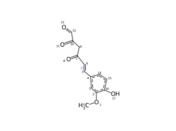 COc1cc(/C=C/C(=O)CC(=O)C=O)ccc1O